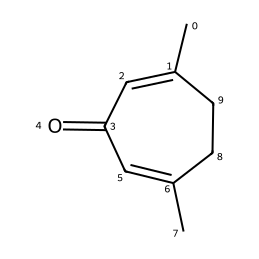 CC1=CC(=O)C=C(C)CC1